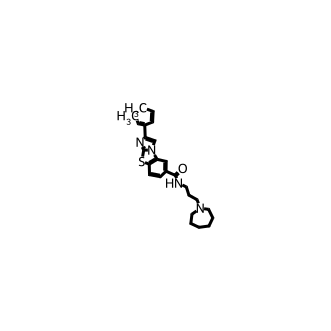 C/C=C\C(=C/C)c1cn2c(n1)sc1ccc(C(=O)NCCCN3CCCCCC3)cc12